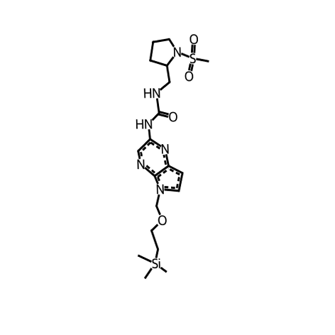 C[Si](C)(C)CCOCn1ccc2nc(NC(=O)NCC3CCCN3S(C)(=O)=O)cnc21